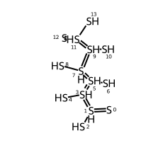 S=[SH](/S)=[SH](/S)=[SH](\S)=[SH](/S)=[SH](\S)=[SH](=S)\S